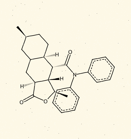 C[C@H]1CC[C@@H]2C(C1)C[C@@H]1C(=O)O[C@H](C)[C@H]1[C@H]2C(=O)N(c1ccccc1)c1ccccc1